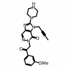 CC#CCn1c(N2CCNCC2)nc2cnn(CC(=O)c3cccc(OC)c3)c(=O)c21